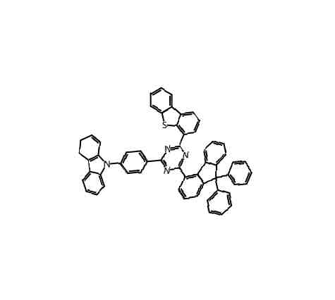 C1=Cc2c(c3ccccc3n2-c2ccc(-c3nc(-c4cccc5c4-c4ccccc4C5(c4ccccc4)c4ccccc4)nc(-c4cccc5c4sc4ccccc45)n3)cc2)CC1